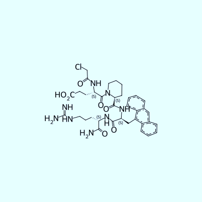 N=C(N)NCCC[C@H](NC(=O)[C@H](Cc1c2ccccc2cc2ccccc12)NC(=O)[C@@H]1CCCCN1C(=O)[C@H](CCC(=O)O)NC(=O)CCl)C(N)=O